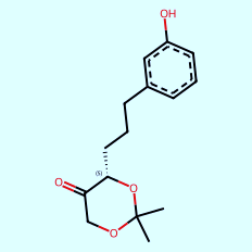 CC1(C)OCC(=O)[C@H](CCCc2cccc(O)c2)O1